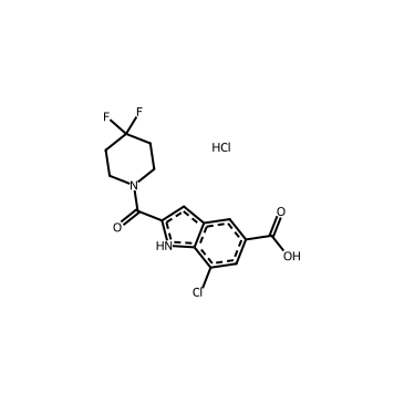 Cl.O=C(O)c1cc(Cl)c2[nH]c(C(=O)N3CCC(F)(F)CC3)cc2c1